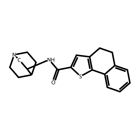 O=C(NC1CN2CCC1CC2)c1cc2c(s1)-c1ccccc1CC2